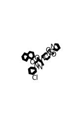 O=c1c(OC2CCc3ccccc3C2)c(N2CCN(S(=O)(=O)c3ccccn3)CC2)cnn1-c1cccc(Cl)c1